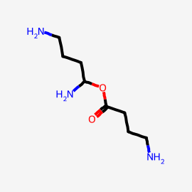 NCCCC(=O)OC(N)CCCN